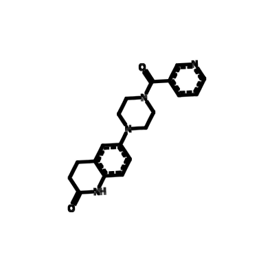 O=C1CCc2cc(N3CCN(C(=O)c4cccnc4)CC3)ccc2N1